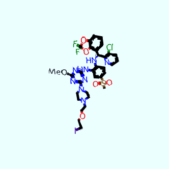 COc1nc(Nc2cc(S(C)(=O)=O)ccc2N[C@@H](c2cccc3c2OC(F)(F)O3)c2ncccc2Cl)nc(N2CCN(CCOCCI)CC2)n1